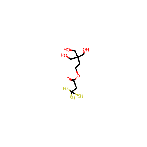 O=C(CC(S)(S)S)OCCC(CO)(CO)CO